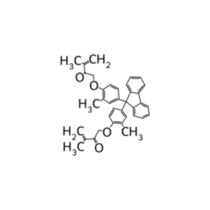 C=C(C)C(=O)COc1ccc(C2(c3ccc(OCC(=O)C(=C)C)c(C)c3)c3ccccc3-c3ccccc32)cc1C